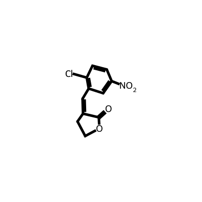 O=C1OCCC1=Cc1cc([N+](=O)[O-])ccc1Cl